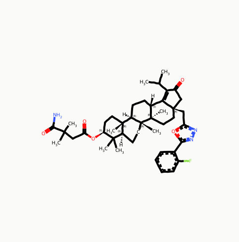 CC(C)C1=C2[C@H]3CC[C@@H]4[C@@]5(C)CC[C@H](OC(=O)CC(C)(C)C(N)=O)C(C)(C)[C@@H]5CC[C@@]4(C)[C@]3(C)CC[C@@]2(Cc2nnc(-c3ccccc3F)o2)CC1=O